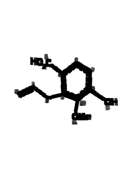 C=CCc1c(C(=O)O)ccc(O)c1OC